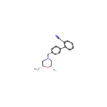 C[C@@H]1CN(Cc2ccc(-c3ccccc3C#N)cc2)C[C@H](C)O1